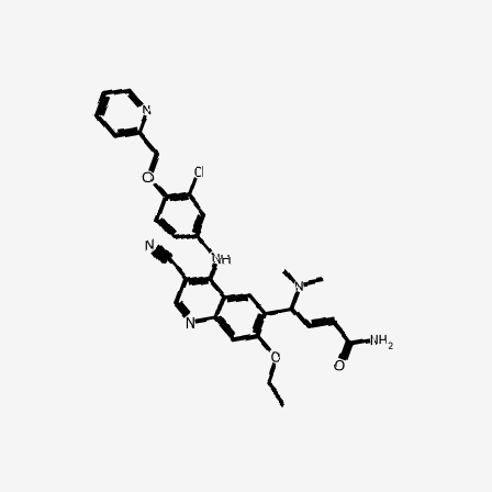 CCOc1cc2ncc(C#N)c(Nc3ccc(OCc4ccccn4)c(Cl)c3)c2cc1C(C=CC(N)=O)N(C)C